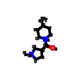 CC(C)C1CCN(C(=O)C2CCN(C)C2)CC1